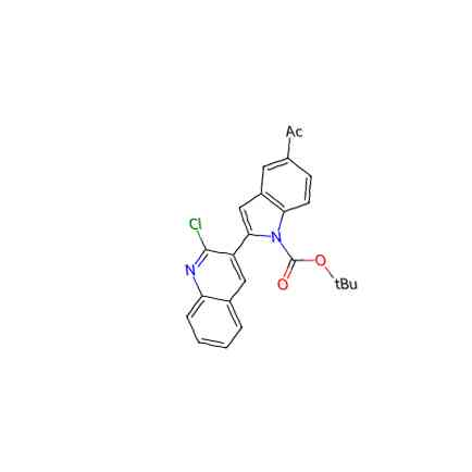 CC(=O)c1ccc2c(c1)cc(-c1cc3ccccc3nc1Cl)n2C(=O)OC(C)(C)C